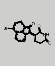 O=C1CCC(=c2c(=O)c3ccc(Br)c4cccc2c43)C(=O)N1